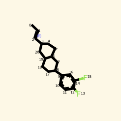 C/C=C/C1CCC2CC(c3ccc(F)c(F)c3)CCC2C1